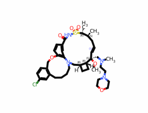 CO[C@]1(CN(C)CCN2CCOCC2)/C=C/C[C@H](C)[C@@H](C)S(=O)(=O)NC(=O)c2ccc3c(c2)N(CCCCc2cc(Cl)ccc2CO3)C[C@@H]2CC[C@H]21